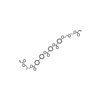 C=CC(=O)OCCOCCOc1ccc(C(=O)Oc2ccc(C(=O)Oc3ccc(-c4ccc(C(=O)OCC(C)COC(=O)C=C)cc4)cc3)cc2)cc1